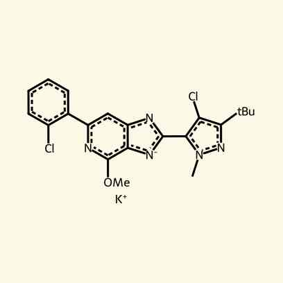 COc1nc(-c2ccccc2Cl)cc2nc(-c3c(Cl)c(C(C)(C)C)nn3C)[n-]c12.[K+]